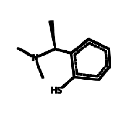 C[C@@H](c1ccccc1S)N(C)C